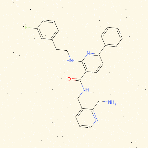 NCc1ncccc1CNC(=O)c1ccc(-c2ccccc2)nc1NCCc1cccc(F)c1